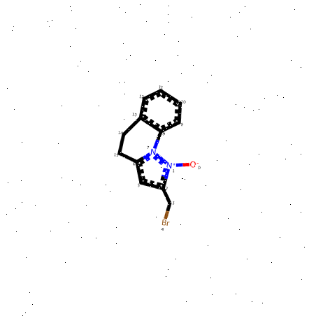 [O-][n+]1c(CBr)cc2n1-c1ccccc1CC2